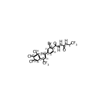 O=C(NCC(F)(F)F)NNC(=O)c1ccc(/C(F)=C/C(c2cc(Cl)c(Cl)c(Cl)c2)C(F)(F)F)cc1Br